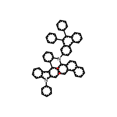 c1ccc(-c2c(-c3ccccc3)c3cc(N(c4ccccc4-c4cccc5c4c4ccccc4n5-c4ccccc4)c4cccc5c4ccc4ccccc45)ccc3c3ccccc23)cc1